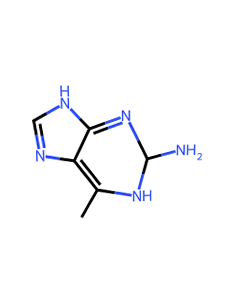 CC1=c2nc[nH]c2=NC(N)N1